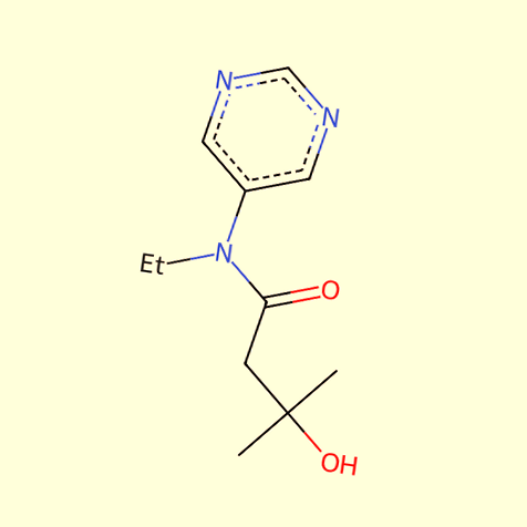 CCN(C(=O)CC(C)(C)O)c1cncnc1